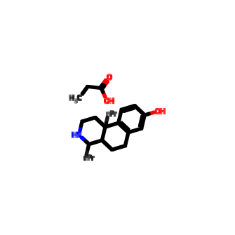 CCC(=O)O.CCCC1NCCC2(CCC)c3ccc(O)cc3CCC12